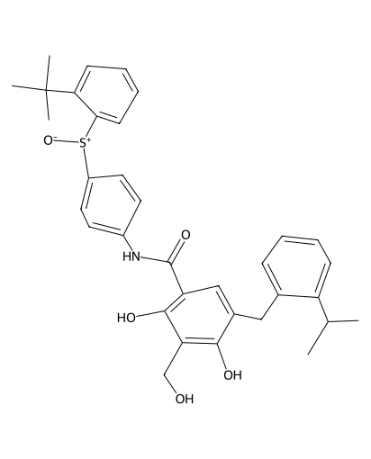 CC(C)c1ccccc1Cc1cc(C(=O)Nc2ccc([S+]([O-])c3ccccc3C(C)(C)C)cc2)c(O)c(CO)c1O